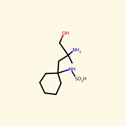 CC(N)(CO)CC1(NS(=O)(=O)O)CCCCC1